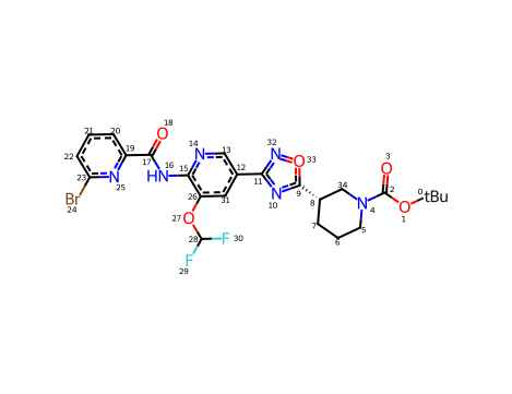 CC(C)(C)OC(=O)N1CCC[C@H](c2nc(-c3cnc(NC(=O)c4cccc(Br)n4)c(OC(F)F)c3)no2)C1